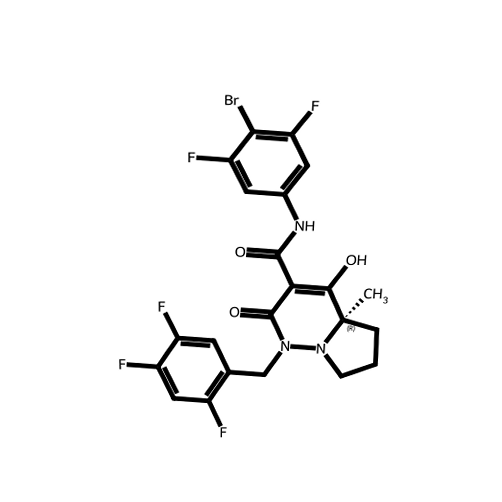 C[C@]12CCCN1N(Cc1cc(F)c(F)cc1F)C(=O)C(C(=O)Nc1cc(F)c(Br)c(F)c1)=C2O